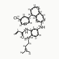 C=CC(=O)Nc1cc(Nc2ncc3nccc(-c4cncc(Cl)c4)c3n2)ccc1N(C)CCN(C)C